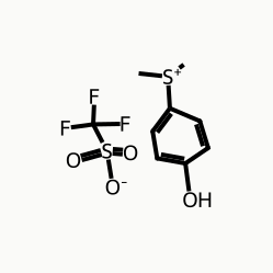 C[S+](C)c1ccc(O)cc1.O=S(=O)([O-])C(F)(F)F